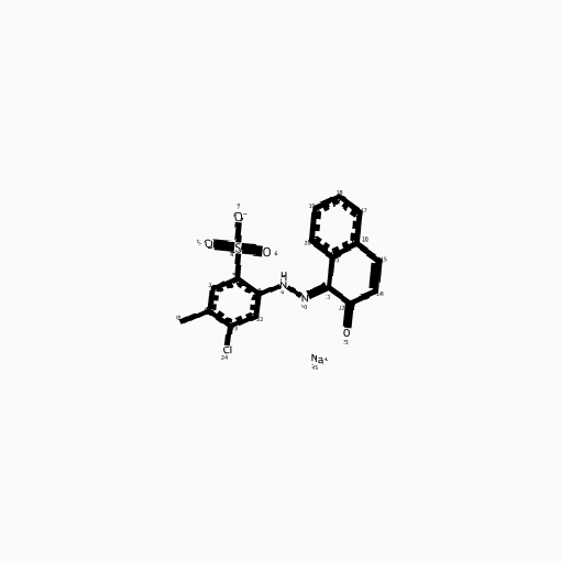 Cc1cc(S(=O)(=O)[O-])c(N/N=C2/C(=O)C=Cc3ccccc32)cc1Cl.[Na+]